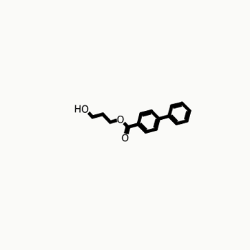 O=C(OCCCO)c1ccc(-c2ccccc2)cc1